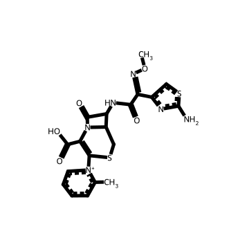 CON=C(C(=O)NC1C(=O)N2C(C(=O)O)=C([n+]3ccccc3C)SCC12)c1csc(N)n1